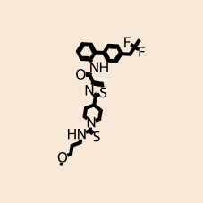 COCCCNC(=S)N1CCC(c2nc(C(=O)Nc3ccccc3-c3ccc(CC(C)(F)F)cc3)cs2)CC1